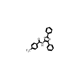 O=C(Nc1sc(-c2ccccc2)nc1-c1ccccc1)c1ccc(C(F)(F)F)cc1